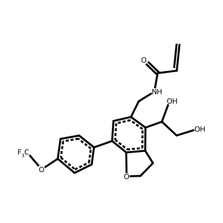 C=CC(=O)NCc1cc(-c2ccc(OC(F)(F)F)cc2)c2c(c1C(O)CO)CCO2